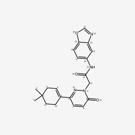 CC1(C)CC=C(c2ccc(=O)n(CC(=O)Nc3ccc4ocnc4c3)n2)CC1